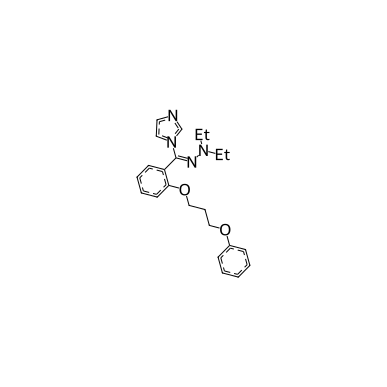 CCN(CC)N=C(c1ccccc1OCCCOc1ccccc1)n1ccnc1